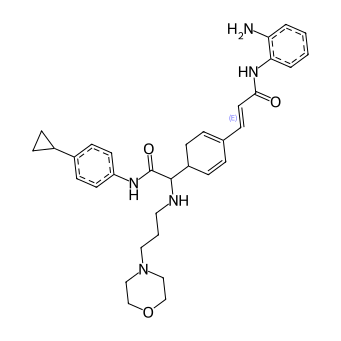 Nc1ccccc1NC(=O)/C=C/C1=CCC(C(NCCCN2CCOCC2)C(=O)Nc2ccc(C3CC3)cc2)C=C1